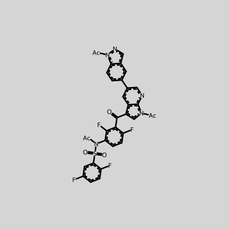 CC(=O)N(c1ccc(F)c(C(=O)c2cn(C(C)=O)c3ncc(-c4ccc5c(cnn5C(C)=O)c4)cc23)c1F)S(=O)(=O)c1cc(F)ccc1F